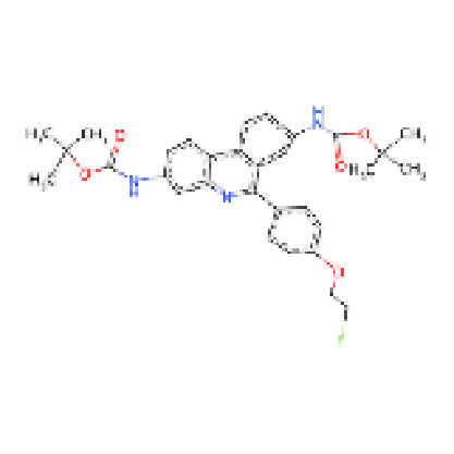 CC(C)(C)OC(=O)Nc1ccc2c(c1)nc(-c1ccc(OCCF)cc1)c1cc(NC(=O)OC(C)(C)C)ccc12